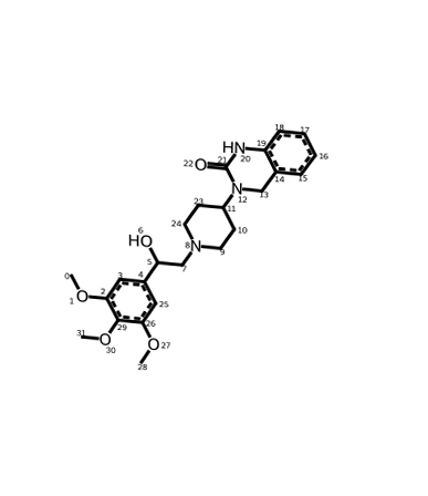 COc1cc(C(O)CN2CCC(N3Cc4ccccc4NC3=O)CC2)cc(OC)c1OC